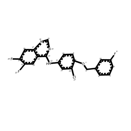 Fc1cccc(COc2ccc(Nc3ncnc4cc(F)c(F)cc34)cc2Cl)c1